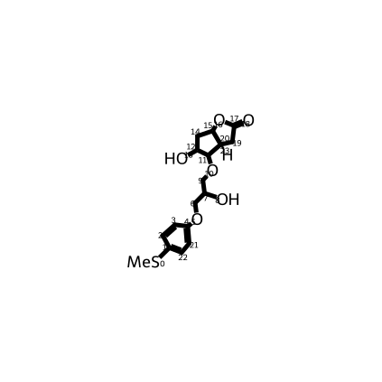 CSc1ccc(OCC(O)COC2C(O)CC3OC(=O)C[C@H]32)cc1